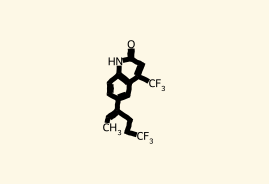 C/C=C(\CCC(F)(F)F)c1ccc2[nH]c(=O)cc(C(F)(F)F)c2c1